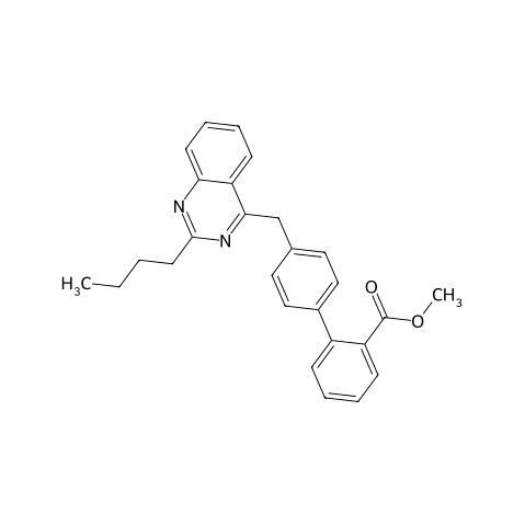 CCCCc1nc(Cc2ccc(-c3ccccc3C(=O)OC)cc2)c2ccccc2n1